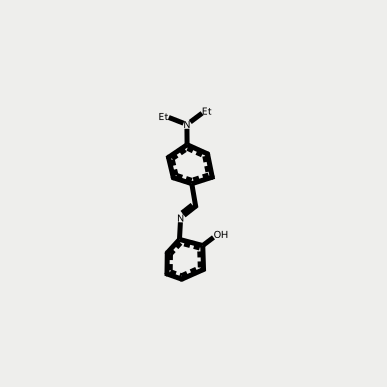 CCN(CC)c1ccc(C=Nc2ccccc2O)cc1